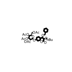 CCCCOc1c(OCc2ccccc2)c2ccc(O[C@H]3O[C@H](COC(C)=O)[C@@H](OC(C)=O)[C@H](OC(C)=O)[C@@H]3OC(C)=O)cc2oc1=O